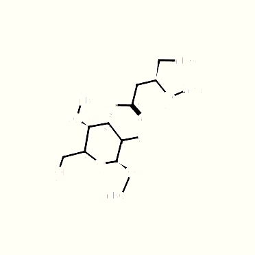 CCCCCCCCCCC[C@H](CC(=O)O[C@@H]1C(C)[C@@H](OCCCC)OC(CO)[C@H]1OCCCC)OCCCC